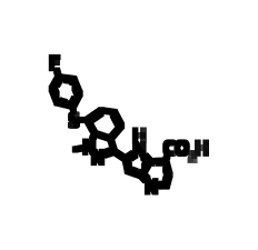 CN1N=C(c2cc3nccc(C(=O)O)c3[nH]2)C2C=CC=C(Sc3ccc(F)cc3)C21